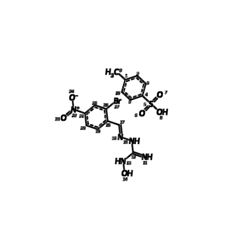 Cc1ccc(S(=O)(=O)O)cc1.N=C(NO)N/N=C/c1ccc([N+](=O)[O-])cc1Br